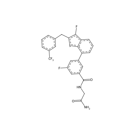 NC(=O)CNC(=O)c1cc(F)cc(-c2cccc3c(F)c(Cc4cccc(C(F)(F)F)c4)sc23)c1